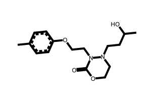 Cc1ccc(OCCN2C(=O)OCCN2CCC(C)O)cc1